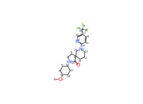 COC1CCC(N2CCC3(CCCN(c4ccc(C(F)(F)F)cn4)C3)C2=O)CC1